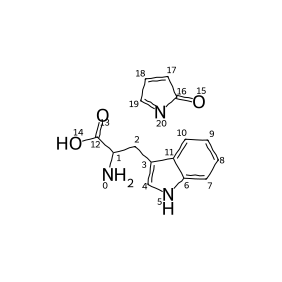 NC(Cc1c[nH]c2ccccc12)C(=O)O.O=C1C=CC=N1